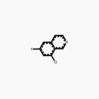 Fc1cc(Cl)c2cnccc2c1